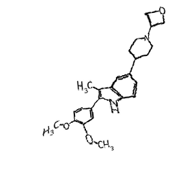 COc1ccc(-c2[nH]c3ccc(C4CCN(C5COC5)CC4)cc3c2C)cc1OC